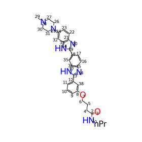 CCCNC(=O)CCCOc1cccc(-c2nc3ccc(-c4nc5ccc(N6CCN(C)CC6)cc5[nH]4)cc3[nH]2)c1